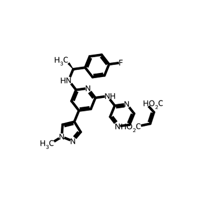 C[C@H](Nc1cc(-c2cnn(C)c2)cc(Nc2cnccn2)n1)c1ccc(F)cc1.O=C(O)/C=C\C(=O)O